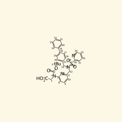 CC(C)(C)OC(=O)N(CC(=O)O)c1cccc(CN(Cc2ccc(-c3ccccc3)cc2)S(=O)(=O)c2ccccn2)n1